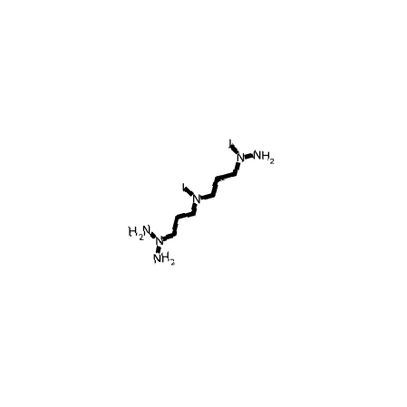 NN(N)CCCN(I)CCCN(N)I